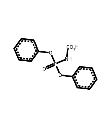 O=C(O)NP(=O)(Oc1ccccc1)Oc1ccccc1